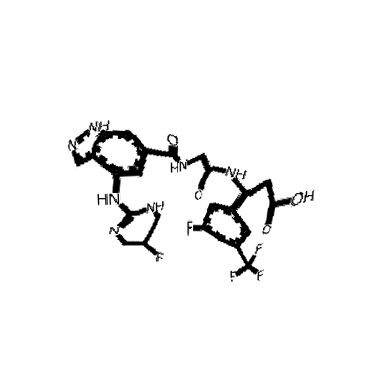 O=C(O)CC(NC(=O)CNC(=O)c1cc(NC2=NCC(F)CN2)c2cn[nH]c2c1)c1cc(F)cc(C(F)(F)F)c1